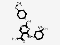 CO[C@H]1CC[C@H](Nc2ncc(C(N)=O)c(N[C@@H]3CCC[C@](C)(O)C3)n2)CC1